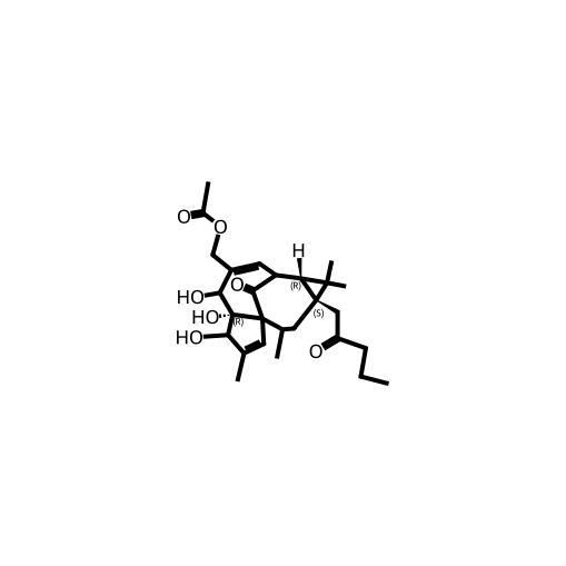 CCCC(=O)C[C@@]12CC(C)C34C=C(C)C(O)[C@@]3(O)C(O)C(COC(C)=O)=CC(C4=O)[C@@H]1C2(C)C